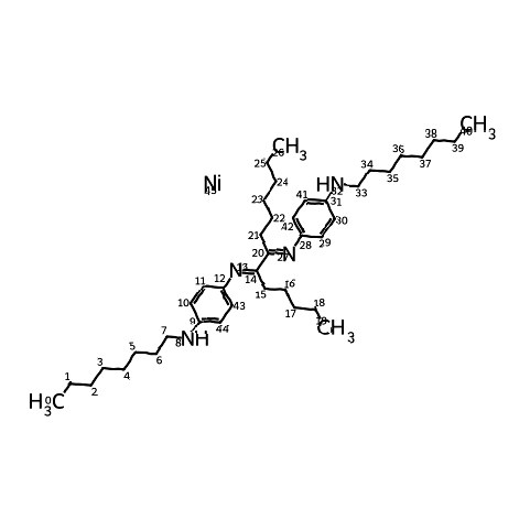 CCCCCCCCNc1ccc(/N=C(CCCCC)/C(CCCCCC)=N/c2ccc(NCCCCCCCC)cc2)cc1.[Ni]